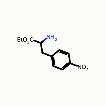 CCOC(=O)C(N)Cc1ccc([N+](=O)[O-])cc1